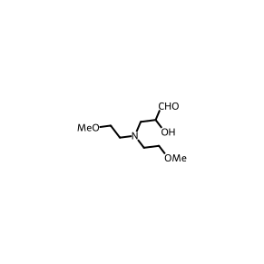 COCCN(CCOC)CC(O)C=O